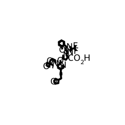 C[C@@H]1N(c2cc(C#CCC3CCOC3)cnc2O[C@H]2C[C@@H](C(=O)O)N(c3nc(C(F)F)nc4c3oc3ccccc34)C2)CCOC12COC2